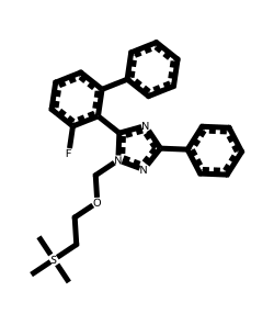 CS(C)(C)CCOCn1nc(-c2ccccc2)nc1-c1c(F)cccc1-c1ccccc1